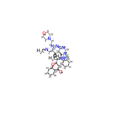 C=N/C=C(\CCCN1CCOCC1)C(=C)C1=C(NC(C)c2oc3ccccc3c(=O)c2-c2cccc(F)c2)NCN=C1N